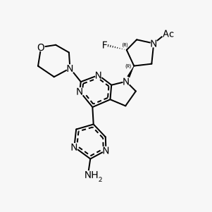 CC(=O)N1C[C@@H](F)[C@H](N2CCc3c(-c4cnc(N)nc4)nc(N4CCOCC4)nc32)C1